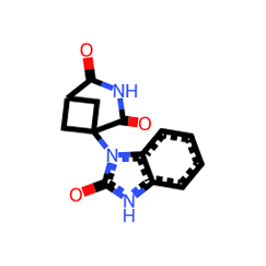 O=C1NC(=O)C2(n3c(=O)[nH]c4ccccc43)CC1C2